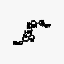 COc1cnc2c(NCc3nnc4ccc(-c5cnn(C(C)C)c5)nn34)ccnc2c1